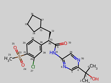 CC(C)(O)c1cnc(NC(=O)[C@H](CC2CCCC2)c2ccc(S(C)(=O)=O)c(Cl)c2)cn1